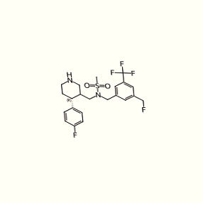 CS(=O)(=O)N(Cc1cc(CF)cc(C(F)(F)F)c1)CC1CNCC[C@H]1c1ccc(F)cc1